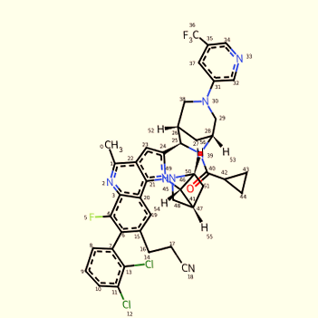 Cc1nc2c(F)c(-c3cccc(Cl)c3Cl)c(CCC#N)cc2c2c1cc([C@H]1[C@H]3C[C@H](CN(c4cncc(C(F)(F)F)c4)C3)N1C(=O)C1CC1)n2[C@H]1[C@H]2CN[C@@H]1C2